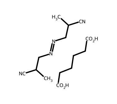 CC(C#N)CN=NCC(C)C#N.O=C(O)CCCCC(=O)O